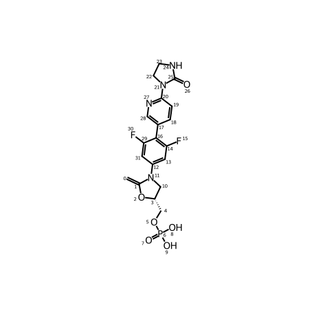 C=C1O[C@@H](COP(=O)(O)O)CN1c1cc(F)c(-c2ccc(N3CCNC3=O)nc2)c(F)c1